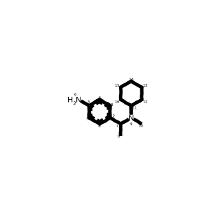 CC(c1ccc(N)cc1)N(C)C1CCCCC1